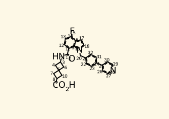 O=C(NC1CC2(C1)CC(C(=O)O)C2)c1ccc(F)c2ccn(Cc3ccc(-c4ccncc4)cc3)c12